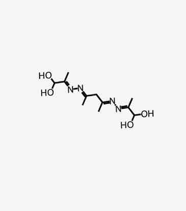 C/C(C/C(C)=N/N=C(\C)C(O)O)=N\N=C(/C)C(O)O